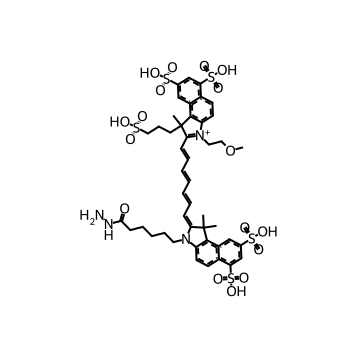 COCC[N+]1=C(/C=C/C=C/C=C/C=C2/N(CCCCCC(=O)NN)c3ccc4c(S(=O)(=O)O)cc(S(=O)(=O)O)cc4c3C2(C)C)C(C)(CCCS(=O)(=O)O)c2c1ccc1c(S(=O)(=O)O)cc(S(=O)(=O)O)cc21